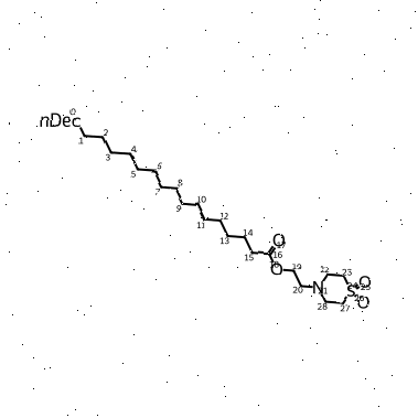 CCCCCCCCCCCCCCCCCCCCCCCCCC(=O)OCCN1CCS(=O)(=O)CC1